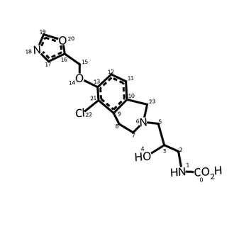 O=C(O)NCC(O)CN1CCc2c(ccc(OCc3cnco3)c2Cl)C1